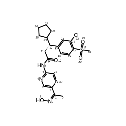 C/C(=N/O)c1cnc(NC(=O)C[C@@H](c2ccc(S(C)(=O)=O)c(Cl)c2)C2CCCC2)cn1